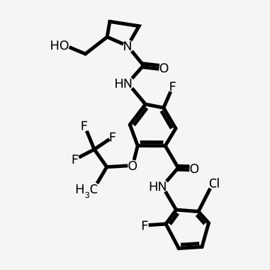 CC(Oc1cc(NC(=O)N2CCC2CO)c(F)cc1C(=O)Nc1c(F)cccc1Cl)C(F)(F)F